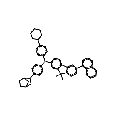 CC1(C)c2ccc(-c3cccc4ccccc34)cc2-c2ccc(N(c3ccc(C4CCCCC4)cc3)c3ccc(C4CC5CCC4C5)cc3)cc21